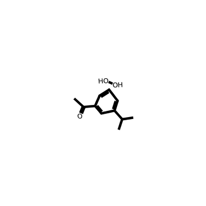 CC(=O)c1cccc(C(C)C)c1.OO